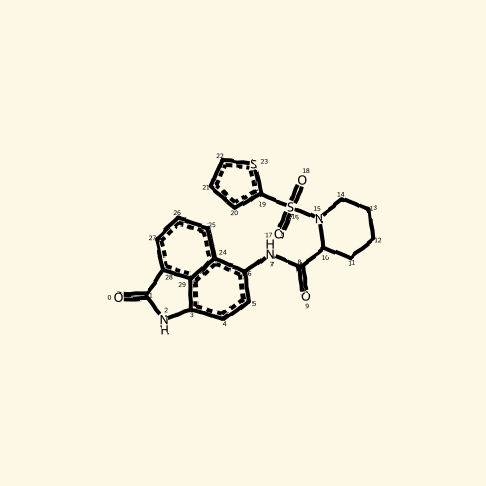 O=C1Nc2ccc(NC(=O)C3CCCCN3S(=O)(=O)c3cccs3)c3cccc1c23